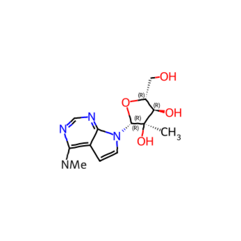 CNc1ncnc2c1ccn2[C@@H]1O[C@H](CO)[C@@H](O)[C@@]1(C)O